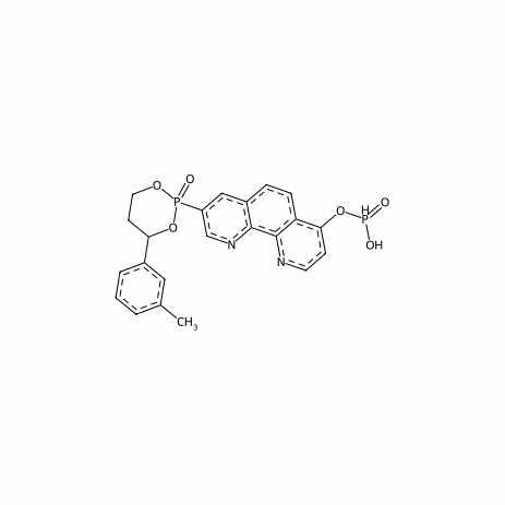 Cc1cccc(C2CCOP(=O)(c3cnc4c(ccc5c(O[PH](=O)O)ccnc54)c3)O2)c1